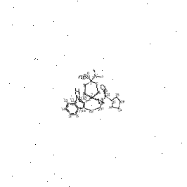 CCCCC1(N(C)C)CCC2(CC1)c1[nH]c3ccccc3c1CCN2C(=O)C1CCCC1